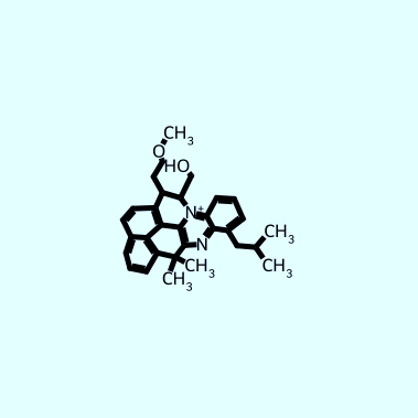 COCCC1c2ccc3cccc4c3c2-c2c(nc3c(CC(C)C)cccc3[n+]2C1CO)C4(C)C